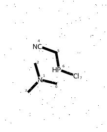 CN(C)C.N#CCPCl